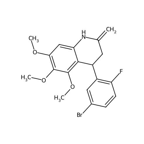 C=C1CC(c2cc(Br)ccc2F)c2c(cc(OC)c(OC)c2OC)N1